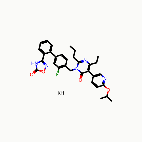 CCCc1nc(CC)c(-c2ccc(OC(C)C)nc2)c(=O)n1Cc1ccc(-c2ccccc2-c2noc(=O)[nH]2)cc1F.[KH]